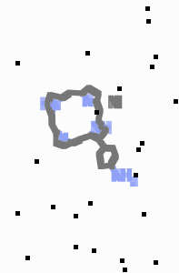 Nc1ccc(-c2cc3cc4nc(cc5ccc(cc6nc(cc2[nH]3)C=C6)[nH]5)C=C4)cc1.[Ni]